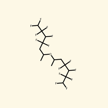 CC(CC(F)(F)C(F)C(F)(F)C(F)F)OC(C)CC(F)(F)C(F)C(F)(F)C(F)F